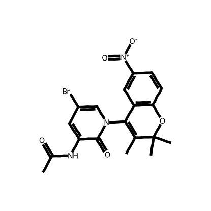 CC(=O)Nc1cc(Br)cn(C2=C(C)C(C)(C)Oc3ccc([N+](=O)[O-])cc32)c1=O